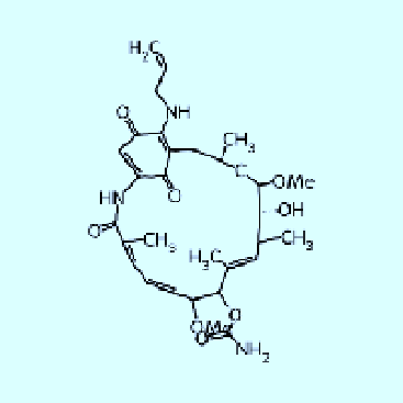 C=CCNC1=C2C[C@@H](C)CC(OC)[C@H](O)C(C)/C=C(\C)C(OC(N)=O)C(OC)/C=C\C=C(/C)C(=O)NC(=CC1=O)C2=O